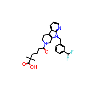 CC(C)(CCCC(=O)N1CCc2c(n(Cc3cccc(C(F)F)c3)c3ncccc23)C1)C(=O)O